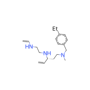 C=CNCCN[C@@H](C=C)CCN(C)Cc1ccc(CC)cc1